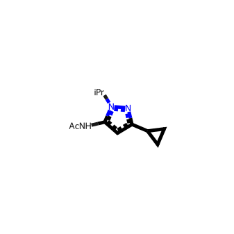 CC(=O)Nc1cc(C2CC2)nn1C(C)C